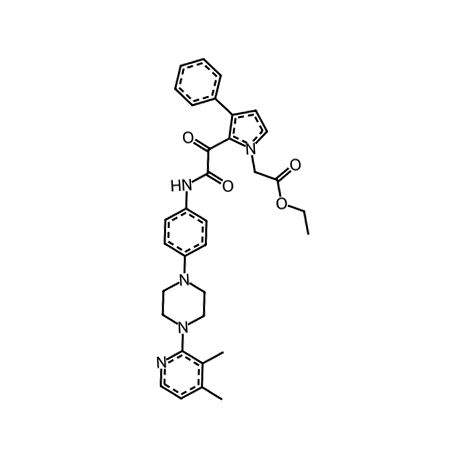 CCOC(=O)Cn1ccc(-c2ccccc2)c1C(=O)C(=O)Nc1ccc(N2CCN(c3nccc(C)c3C)CC2)cc1